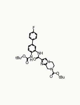 CC(C)(C)OC(=O)Nc1ccc(-c2ccc(F)cc2)cc1NC(=O)c1cn2c(n1)CN(C(=O)OC(C)(C)C)CC2